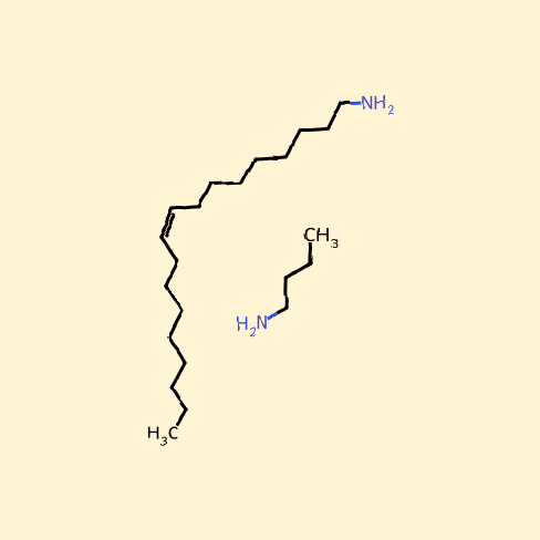 CCCCCCCC/C=C\CCCCCCCCN.CCCCN